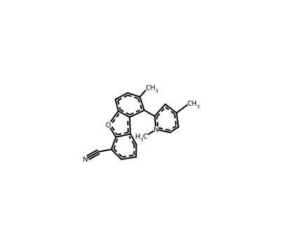 Cc1cc[n+](C)c(-c2c(C)ccc3oc4c(C#N)cccc4c23)c1